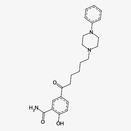 NC(=O)c1cc(C(=O)CCCCCN2CCN(c3ccccc3)CC2)ccc1O